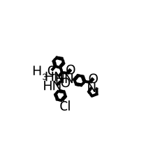 Cc1ccccc1C(NC(=O)Nc1ccc(Cl)cc1)C(=O)Nc1ccc(C(=O)N2CCCC2)cc1